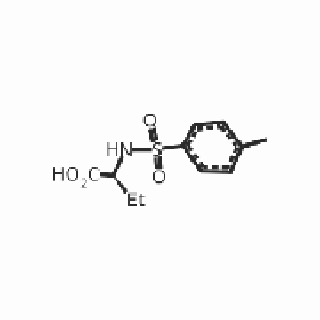 CC[C@H](NS(=O)(=O)c1ccc(C)cc1)C(=O)O